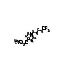 CCOC(=O)C1CCN(CCCCC(F)(F)F)CC1